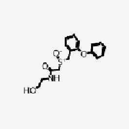 O=C(C[S+]([O-])Cc1ccccc1Oc1ccccc1)NCCO